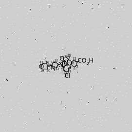 O=C(O)c1cccc(C2(n3c(=O)n(-c4ccc(C5CCOCC5)nc4)c4cc(Cl)ccc43)CC2)c1